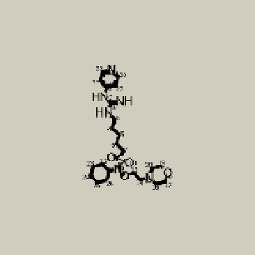 N=C(NCCCCCS(=O)(=O)N(OCCN1CCOCC1)C1CCCCC1)Nc1ccncc1